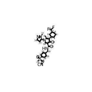 Cc1c(-c2cccc(C(F)F)c2)c(=O)c(C(=O)NCc2ccc(S(C)(=O)=NC#N)cc2)cn1-c1ccnn1C